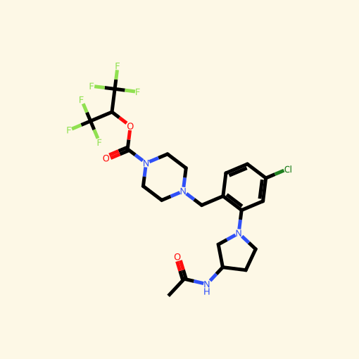 CC(=O)NC1CCN(c2cc(Cl)ccc2CN2CCN(C(=O)OC(C(F)(F)F)C(F)(F)F)CC2)C1